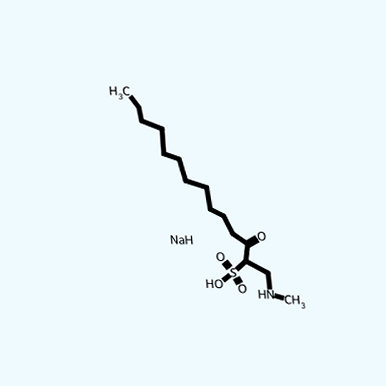 CCCCCCCCCCCC(=O)C(CNC)S(=O)(=O)O.[NaH]